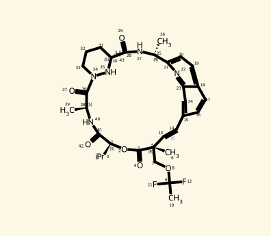 CC(C)[C@@H]1OC(=O)[C@@](C)(COC(C)(F)F)/C=C/c2ccc3ccc(nc3c2)[C@@H](C)NC(=O)[C@@H]2CCCN(N2)C(=O)[C@H](C)NC1=O